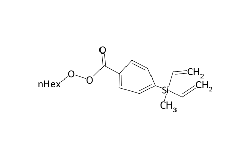 [CH2]CCCCCOOC(=O)c1ccc([Si](C)(C=C)C=C)cc1